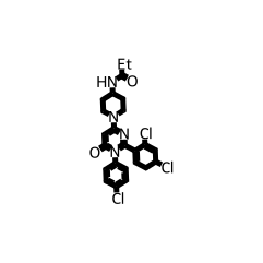 CCC(=O)NC1CCN(c2cc(=O)n(-c3ccc(Cl)cc3)c(C3=CCC(Cl)C=C3Cl)n2)CC1